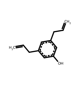 C=CCc1[c]c(CC=C)cc(O)c1